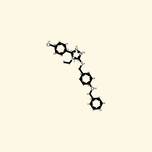 CCn1c(SCc2ccc(OCc3ccccc3)cc2)nnc1-c1ccc(Cl)cc1